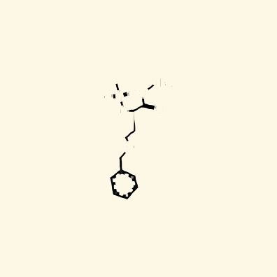 CC(C)(C)OC(=O)[C@@H](CCOCc1ccccc1)OS(C)(=O)=O